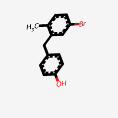 Cc1ccc(Br)cc1Cc1ccc(O)cc1